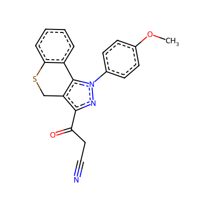 COc1ccc(-n2nc(C(=O)CC#N)c3c2-c2ccccc2SC3)cc1